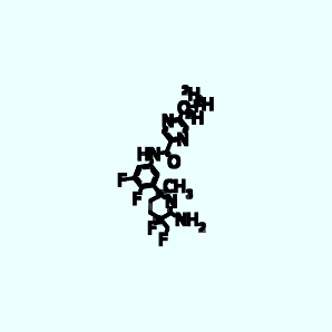 [2H]C([2H])([2H])Oc1cnc(C(=O)Nc2cc(F)c(F)c([C@]3(C)CC[C@@](F)(CF)C(N)=N3)c2)cn1